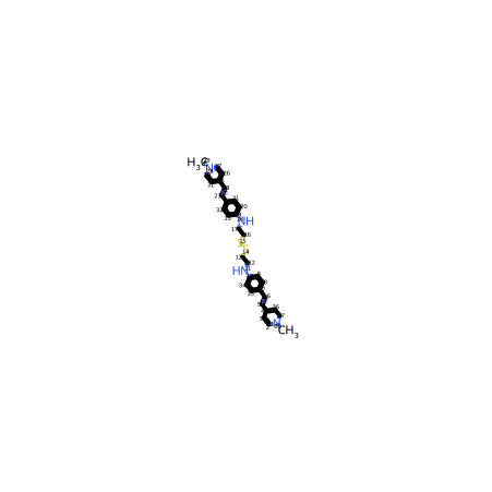 CN1C=CC(/C=C/c2ccc(NCCSSCCNc3ccc(/C=C/c4cc[n+](C)cc4)cc3)cc2)=CC1